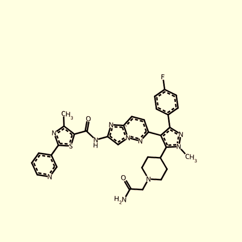 Cc1nc(-c2cccnc2)sc1C(=O)Nc1cn2nc(-c3c(-c4ccc(F)cc4)nn(C)c3C3CCN(CC(N)=O)CC3)ccc2n1